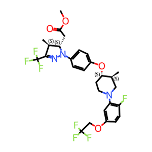 COC(=O)C[C@H]1[C@H](C)C(C(F)(F)F)=NN1c1ccc(O[C@H]2CCN(c3cc(OCC(F)(F)F)ccc3F)C[C@@H]2C)cc1